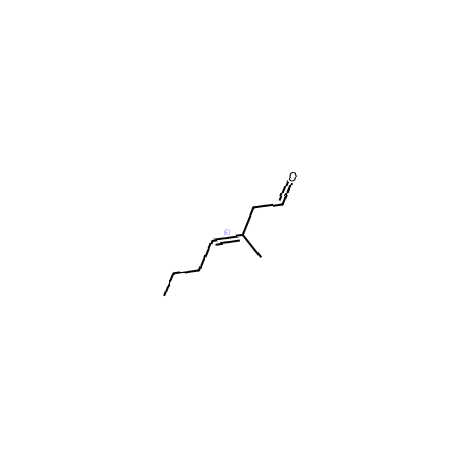 CCC/C=C(\C)CC=O